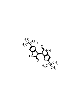 [CH3][Sn]([CH3])([CH3])[c]1cc2c(s1)C(=C1C(=O)Nc3c[c]([Sn]([CH3])([CH3])[CH3])sc31)C(=O)N2